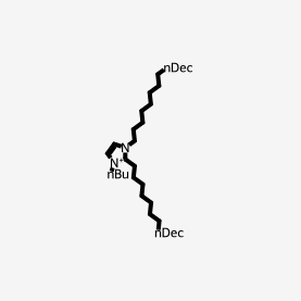 CCCCCCCCCCCCCCCCCCn1cc[n+](CCCC)c1CCCCCCCCCCCCCCCCC